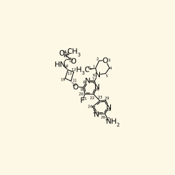 C[C@H]1COCCN1c1nc(O[C@H]2C[C@H](NS(C)(=O)=O)C2)c(F)c(-c2cnc(N)nc2)n1